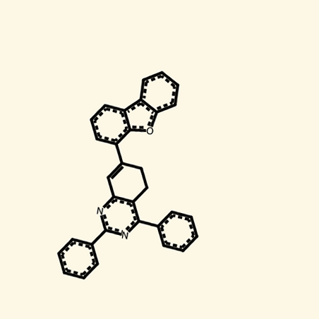 C1=C(c2cccc3c2oc2ccccc23)CCc2c1nc(-c1ccccc1)nc2-c1ccccc1